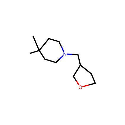 CC1(C)CCN(CC2CCOC2)CC1